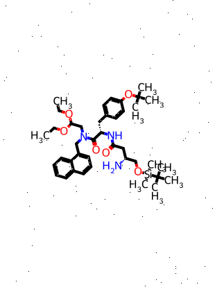 CCOC(CN(Cc1cccc2ccccc12)C(=O)[C@H](Cc1ccc(OC(C)(C)C)cc1)NC(=O)C[C@@H](N)CO[Si](C)(C)C(C)(C)C)OCC